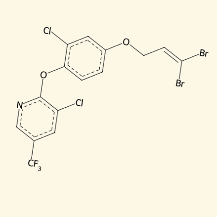 FC(F)(F)c1cnc(Oc2ccc(OCC=C(Br)Br)cc2Cl)c(Cl)c1